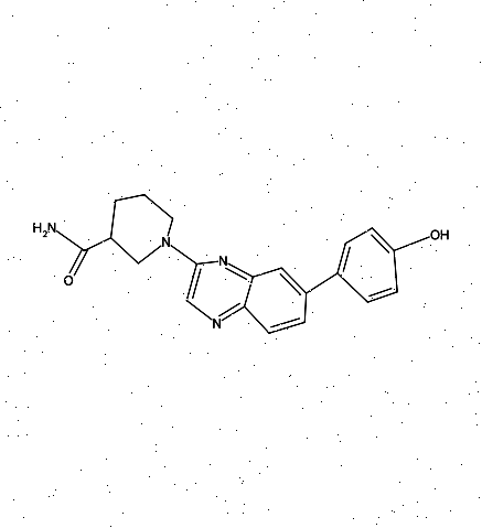 NC(=O)C1CCCN(c2cnc3ccc(-c4ccc(O)cc4)cc3n2)C1